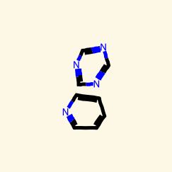 c1ccncc1.c1ncncn1